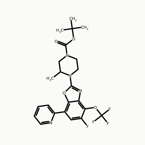 CC1CN(C(=O)OC(C)(C)C)CCN1c1nc2c(OC(F)(F)F)c(F)cc(-c3ccccn3)c2o1